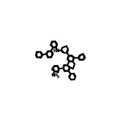 Nc1cccc(-c2cc(C3=CCCC=C3)c3c(c2)-c2cc(C4=CCCC(Nc5ccccc5-c5cccc(-c6ccccc6)c5)=C4)cc(-c4ccccc4)c2CC3)c1